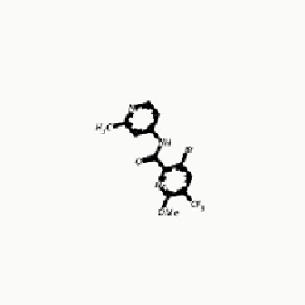 COc1nc(C(=O)Nc2ccnc(C)c2)c(Br)cc1C(F)(F)F